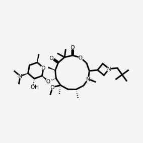 CO[C@]1(C)C[C@@H](C)CN(C)C(C2CN(CC(C)(C)C)C2)COC(=O)C(C)(C)C(=O)[C@H](C)[C@H]1O[C@@H]1O[C@H](C)C[C@H](N(C)C)[C@H]1O